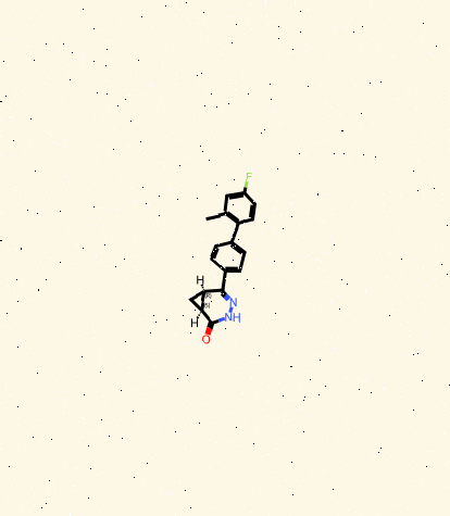 Cc1cc(F)ccc1-c1ccc(C2=NNC(=O)[C@H]3C[C@@H]23)cc1